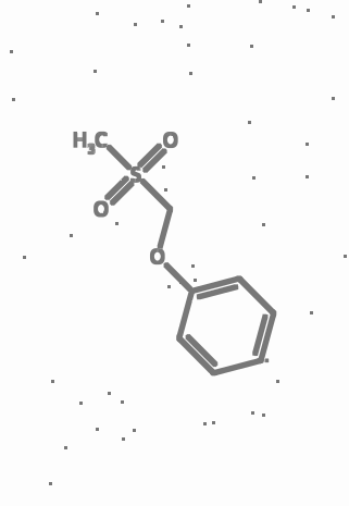 CS(=O)(=O)COc1cc[c]cc1